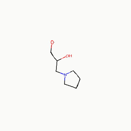 [O]CC(O)CN1CCCC1